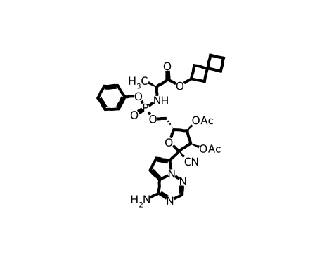 CC(=O)O[C@H]1[C@@H](OC(C)=O)[C@](C#N)(c2ccc3c(N)ncnn23)O[C@@H]1COP(=O)(N[C@@H](C)C(=O)OC1CC2(CCC2)C1)Oc1ccccc1